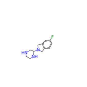 Fc1ccc2c(c1)CN(C1CNCCN1)C2